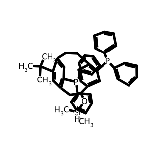 C[SiH](C)OC1Cc2cc(C(C)(C)C)c(cc2P(c2ccccc2)c2ccccc2)CCc2ccc1cc2P(c1ccccc1)c1ccccc1